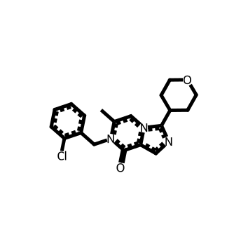 Cc1cn2c(C3CCOCC3)ncc2c(=O)n1Cc1ccccc1Cl